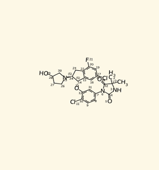 CC1(C)NC(=O)N(c2ccc(Cl)c(O[C@H]3c4cc(Cl)cc(F)c4C[C@@H]3N3CCC(O)C3)c2)C1=O